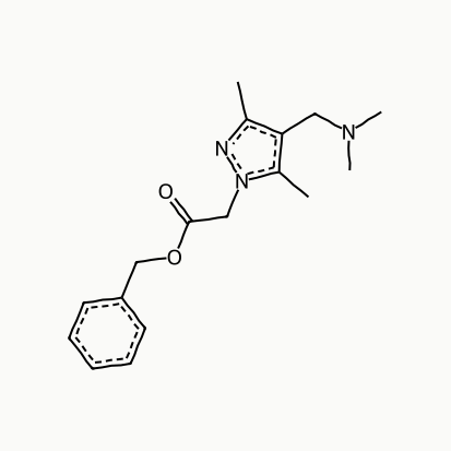 Cc1nn(CC(=O)OCc2ccccc2)c(C)c1CN(C)C